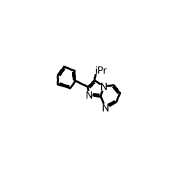 CC(C)c1c(-c2ccccc2)nc2ncccn12